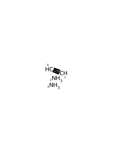 C#C.N.N